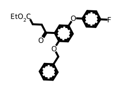 CCOC(=O)CCC(=O)c1cc(Oc2ccc(F)cc2)ccc1OCc1ccccc1